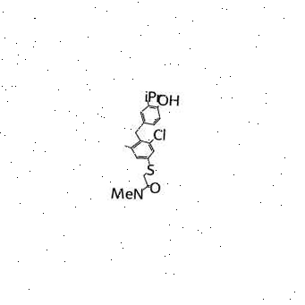 CNC(=O)CSc1cc(C)c(Cc2ccc(O)c(C(C)C)c2)c(Cl)c1